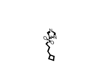 O=S(=O)(CCCC1CCC1)n1cncn1